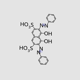 O=S(=O)(O)c1cc2cc(S(=O)(=O)O)c(/N=N/c3ccccc3)c(O)c2c(O)c1/N=N/c1ccccc1